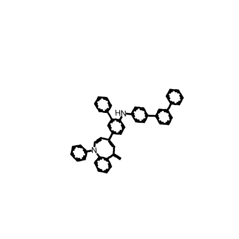 C=C1/C=C(c2ccc(Nc3ccc(-c4cccc(-c5ccccc5)c4)cc3)c(-c3ccccc3)c2)\C=C/N(c2ccccc2)c2ccccc21